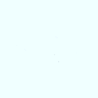 CC(C)[Si]1(C(C)C)C2=CC(=O)C=CC2=Nc2ccc(N(C)C)cc21